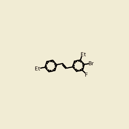 CCc1ccc(/C=C/c2cc(F)c(Br)c(CC)c2)cc1